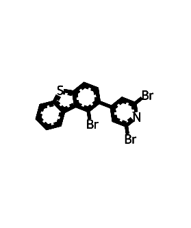 Brc1cc(-c2ccc3sc4ccccc4c3c2Br)cc(Br)n1